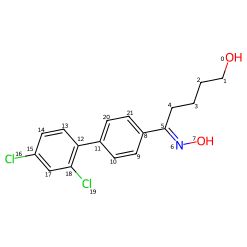 OCCCC/C(=N\O)c1ccc(-c2ccc(Cl)cc2Cl)cc1